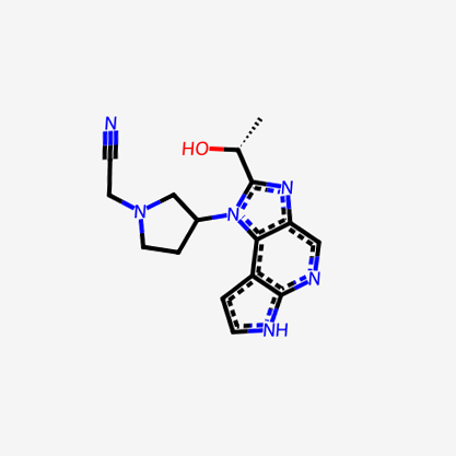 C[C@@H](O)c1nc2cnc3[nH]ccc3c2n1C1CCN(CC#N)C1